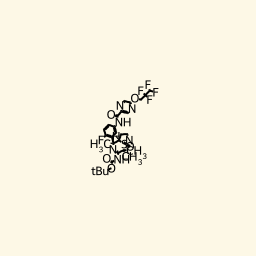 CC(C)(C)OC(=O)NC1=N[C@](C)(c2cc(NC(=O)c3cnc(OCC(F)(F)C(F)F)cn3)ccc2F)[C@@H]2CCN=[S@]2(=O)C1(C)C